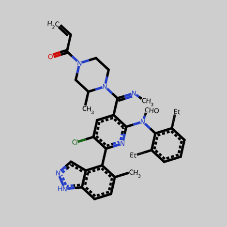 C=CC(=O)N1CCN(/C(=N/C)c2cc(Cl)c(-c3c(C)ccc4[nH]ncc34)nc2N(C=O)c2c(CC)cccc2CC)C(C)C1